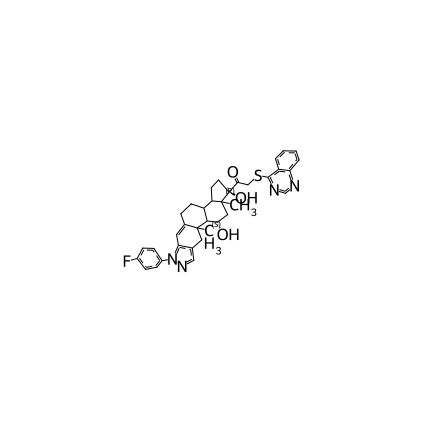 CC12Cc3cnn(-c4ccc(F)cc4)c3C=C1CCC1C2[C@@H](O)CC2(C)C1CC[C@]2(O)C(=O)CSc1ncnc2ccccc12